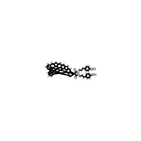 O=C(OCCCc1ccc(O)cc1)C1(C(=O)OCCCc2ccc(O)cc2)C2c3cc4c5c6c(cc7cc8c9c%10c%11c%12c%13c%14c%15c(c%16c3c5c(c%16%13)c3c6c7c9c%123)C21CC%15=CC(C=C%10C8)C%14%11)C4